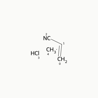 C=CC#N.Cl.[CH3]